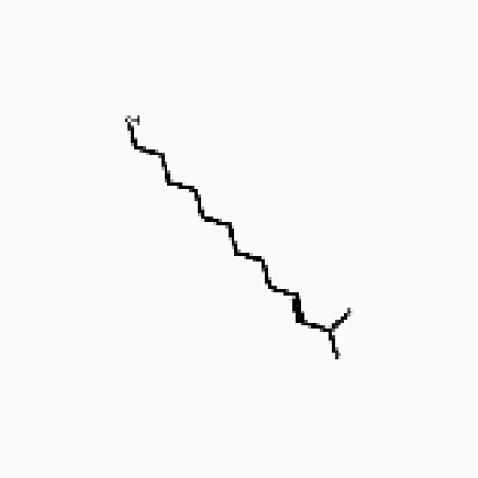 OCCCCCCCCCC=CC(F)F